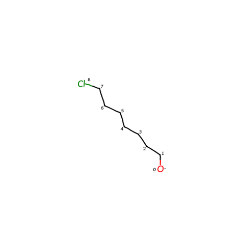 [O]CCCCCCCCl